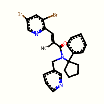 N#CC(=Cc1ncc(Br)cc1Br)C(=O)N(Cc1cccnc1)C1(c2ccccc2)CCCC1